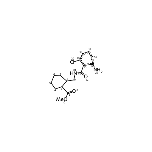 COC(=O)C1CCCCC1CNC(=O)c1c(N)cccc1Cl